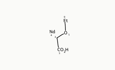 CCOCC(=O)O.[Nd]